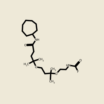 CC(C)(CCOC(C)(C)CCC(=O)NC1CCCCCCC1)OCCNC(=O)F